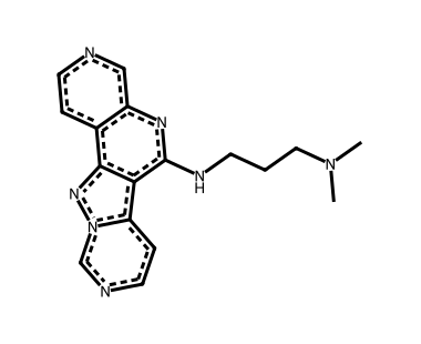 CN(C)CCCNc1nc2cnccc2c2nn3cnccc3c12